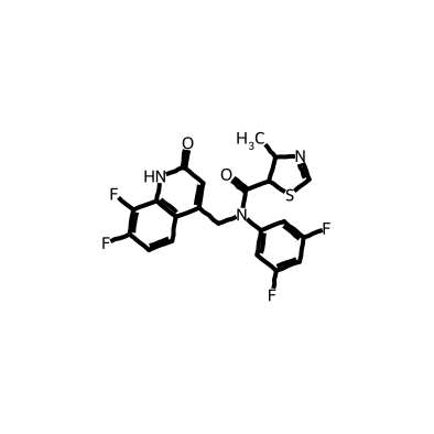 CC1N=CSC1C(=O)N(Cc1cc(=O)[nH]c2c(F)c(F)ccc12)c1cc(F)cc(F)c1